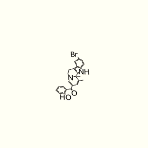 CC1=CC(C(=O)c2ccccc2O)=CN2CCc3c([nH]c4ccc(Br)cc34)C12C